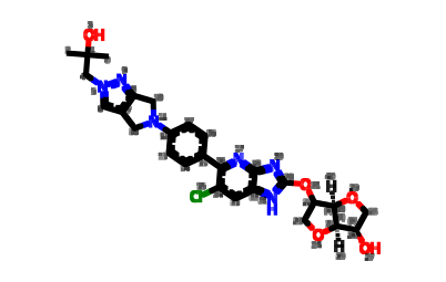 CC(C)(O)Cn1cc2c(n1)CN(c1ccc(-c3nc4nc(OC5CO[C@@H]6[C@H](O)CO[C@H]56)[nH]c4cc3Cl)cc1)C2